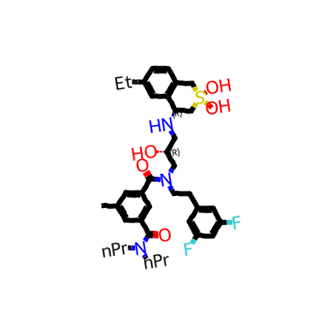 CCCN(CCC)C(=O)c1cc(C)cc(C(=O)N(CCc2cc(F)cc(F)c2)C[C@H](O)CN[C@H]2CS(O)(O)Cc3ccc(CC)cc32)c1